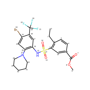 CCc1ccc(C(=O)OC)cc1S(=O)(=O)Nc1cc(C(F)(F)F)c(Br)cc1N1CCCCC1